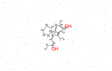 CCC/C(=C\C=C(\O)CC)C1(c2ccc(O)c(C)c2)CCCCC1